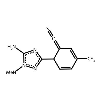 CNn1nc(C2C=CC(C(F)(F)F)=CC2=C=S)nc1N